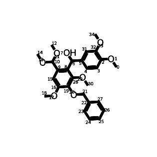 COc1ccc(C(O)c2c(C(OC)OC)cc(OC)c(OCc3ccccc3)c2OC)cc1OC